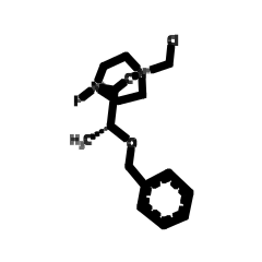 C[C@@H](OCc1ccccc1)C1C[N+]2(CCl)CC[N+]1(F)CC2